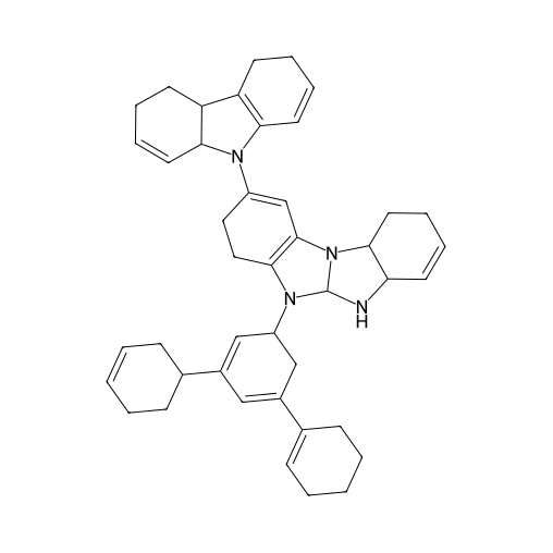 C1=CC2=C(CC1)C1CCC=CC1N2C1=CC2=C(CC1)N(C1C=C(C3CC=CCC3)C=C(C3=CCCCC3)C1)C1NC3C=CCCC3N21